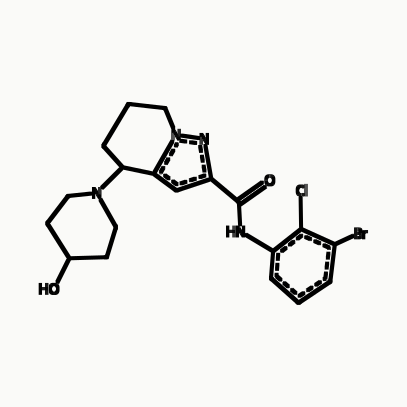 O=C(Nc1cccc(Br)c1Cl)c1cc2n(n1)CCCC2N1CCC(O)CC1